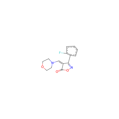 O=C1ON=C(c2ccccc2F)C1=CN1CCOCC1